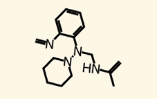 C=Nc1ccccc1N(CNC(=C)C)N1CCCCC1